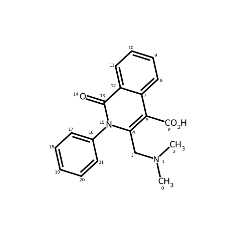 CN(C)Cc1c(C(=O)O)c2ccccc2c(=O)n1-c1ccccc1